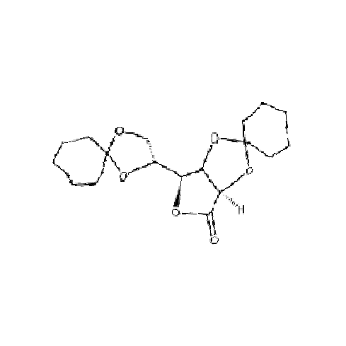 O=C1O[C@@H]([C@H]2COC3(CCCCC3)O2)C2OC3(CCCCC3)O[C@@H]12